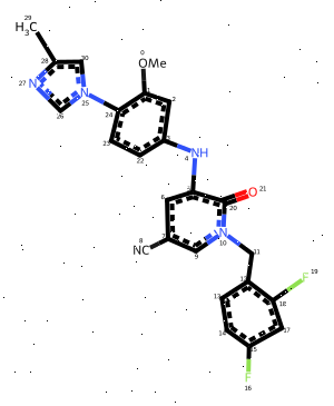 COc1cc(Nc2cc(C#N)cn(Cc3ccc(F)cc3F)c2=O)ccc1-n1cnc(C)c1